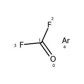 O=C(F)F.[Ar]